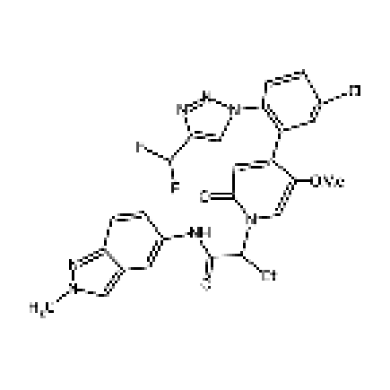 CCC(C(=O)Nc1ccc2nn(C)cc2c1)n1cc(OC)c(-c2cc(Cl)ccc2-n2cc(C(F)F)nn2)cc1=O